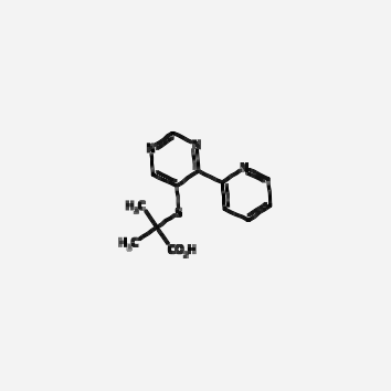 CC(C)(Sc1cncnc1-c1ccccn1)C(=O)O